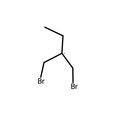 CC[C](CBr)CBr